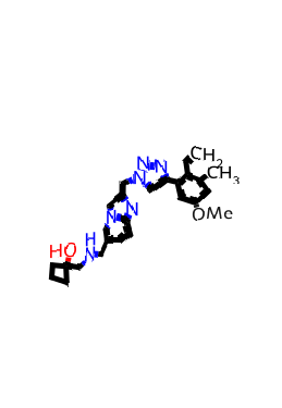 C=Cc1c(C)cc(OC)cc1-c1cn(Cc2cn3cc(CNCC4(O)CCC4)ccc3n2)nn1